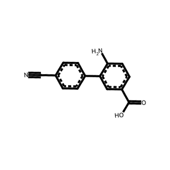 N#Cc1ccc(-c2cc(C(=O)O)ccc2N)cc1